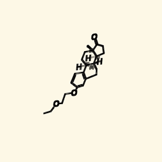 CCOCCOc1ccc2c(c1)CC[C@@H]1[C@@H]2CC[C@]2(C)C(=O)CC[C@@H]12